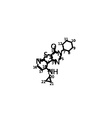 O=c1c2c(ncn1C1CCCCC1)C1C(=NC=CC1NC1CC1)S2